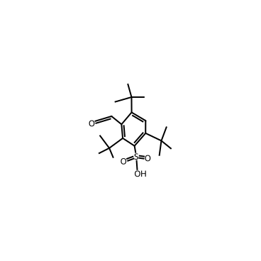 CC(C)(C)c1cc(C(C)(C)C)c(S(=O)(=O)O)c(C(C)(C)C)c1C=O